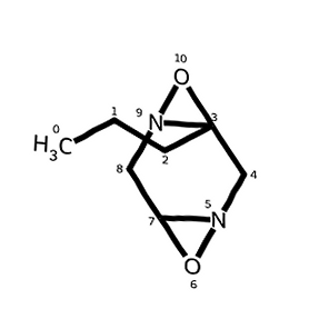 CCCC12CN3OC3CN1O2